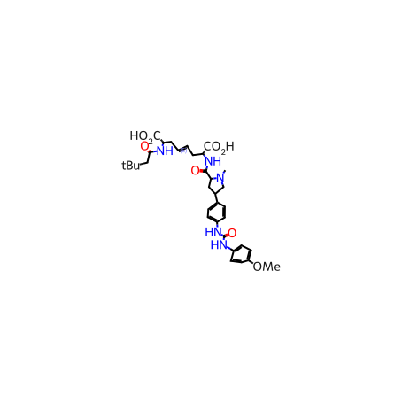 COc1ccc(NC(=O)Nc2ccc(C3CC(C(=O)NC(C/C=C/CC(NC(=O)CC(C)(C)C)C(=O)O)C(=O)O)N(C)C3)cc2)cc1